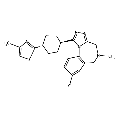 Cc1csc([C@H]2CC[C@H](c3nnc4n3-c3ccc(Cl)cc3CN(C)C4)CC2)n1